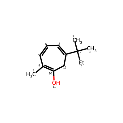 CCC(C)(C)C1=CC=CC(C)=C(O)C1